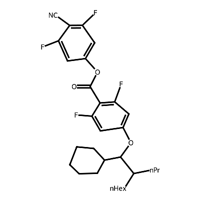 CCCCCCC(CCC)C(Oc1cc(F)c(C(=O)Oc2cc(F)c(C#N)c(F)c2)c(F)c1)C1CCCCC1